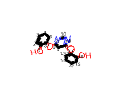 Oc1ccccc1Oc1cc(Oc2ccccc2O)ncn1